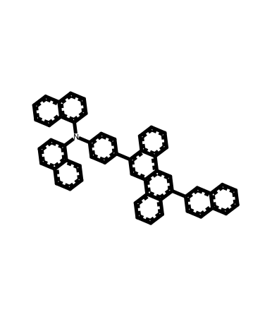 c1ccc2cc(-c3cc4c5ccccc5c(-c5ccc(N(c6cccc7ccccc67)c6cccc7ccccc67)cc5)cc4c4ccccc34)ccc2c1